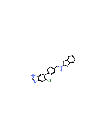 Clc1cc2nc[nH]c2cc1-c1ccc(CNC2Cc3ccccc3C2)cc1